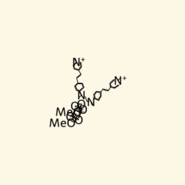 CN(CCN(C)c1ccc(/C=C/c2cc[n+](C)cc2)cc1)c1ccc(/C=C/c2cc[n+](C)cc2)cc1.COS(=O)(=O)[O-].COS(=O)(=O)[O-]